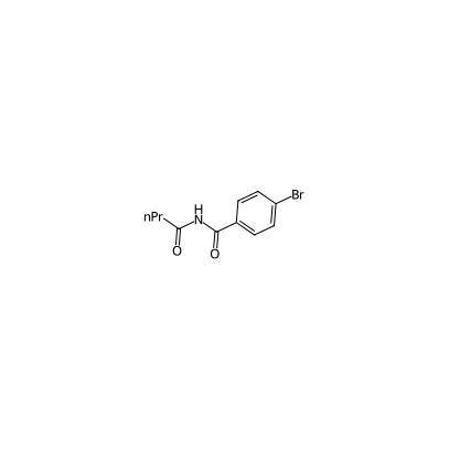 CCCC(=O)NC(=O)c1ccc(Br)cc1